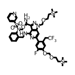 CN(c1ccccc1CNc1nc(-c2cc(F)c(OCOCC[Si](C)(C)C)cc2CC(F)(F)F)cc2c1c(C(N)=O)nn2COCC[Si](C)(C)C)S(=O)(=O)c1cccnc1